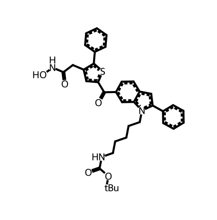 CC(C)(C)OC(=O)NCCCCCn1c(-c2ccccc2)cc2ccc(C(=O)c3cc(CC(=O)NO)c(-c4ccccc4)s3)cc21